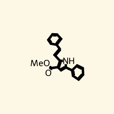 COC(=O)c1cc(-c2ccccc2)[nH]c1C=Cc1ccccc1